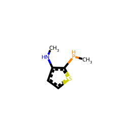 CNc1ccsc1PC